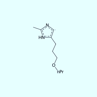 CCCOCCCc1[c]nc(C)[nH]1